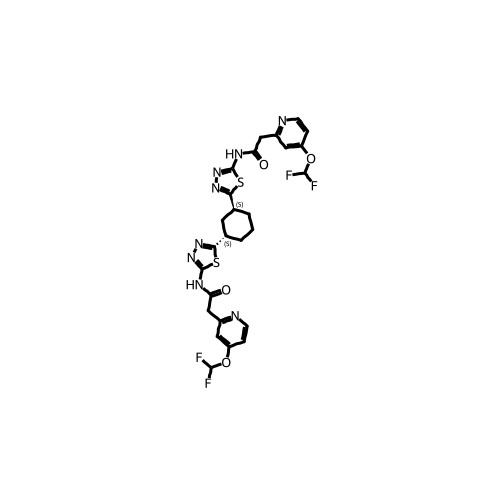 O=C(Cc1cc(OC(F)F)ccn1)Nc1nnc([C@H]2CCC[C@H](c3nnc(NC(=O)Cc4cc(OC(F)F)ccn4)s3)C2)s1